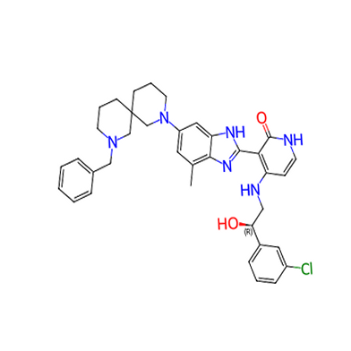 Cc1cc(N2CCCC3(CCCN(Cc4ccccc4)C3)C2)cc2[nH]c(-c3c(NC[C@H](O)c4cccc(Cl)c4)cc[nH]c3=O)nc12